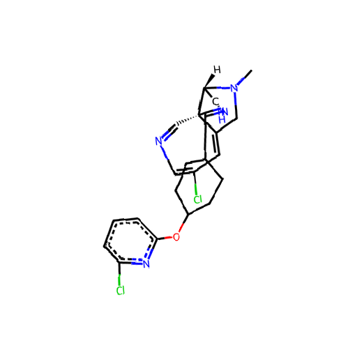 CN1CC2=CC(Cl)=CN=C[C@]23C(C2CCC(Oc4cccc(Cl)n4)CC2)=NNC[C@@H]13